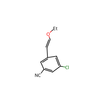 CCOC=Cc1cc(Cl)cc(C#N)c1